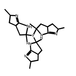 CC1CC2C[C](C)([Y]([C]3(C)CC4CC(C)N=C4N3)[C]3(C)CC4CC(C)N=C4N3)NC2=N1